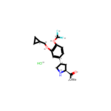 COC(=O)[C@@H]1C[C@@H](c2ccc(OC(F)F)c(OCC3CC3)c2)CN1.Cl